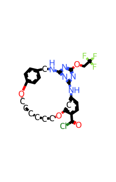 O=C(Cl)c1ccc2cc1OCCCCCCOc1ccc(cc1)CNc1nc(nc(OCC(F)(F)F)n1)N2